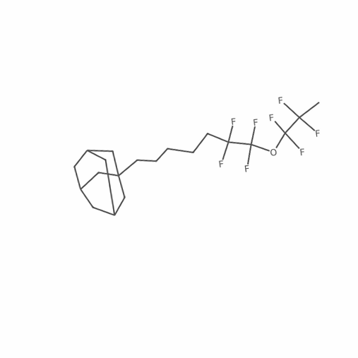 CC(F)(F)C(F)(F)OC(F)(F)C(F)(F)CCCCCC12CC3CC(CC(C3)C1)C2